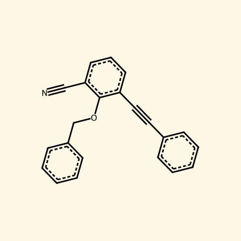 N#Cc1cccc(C#Cc2ccccc2)c1OCc1ccccc1